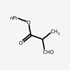 CCCOC(=O)C(C)C=O